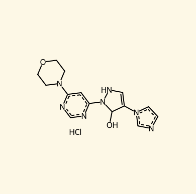 Cl.OC1C(n2ccnc2)=CNN1c1cc(N2CCOCC2)ncn1